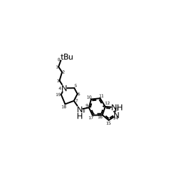 CC(C)(C)CCCN1CCC(Nc2ccc3[nH]ncc3c2)CC1